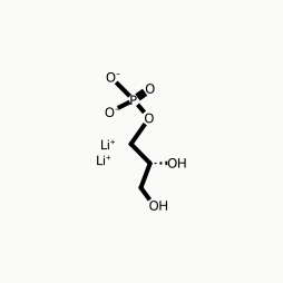 O=P([O-])([O-])OC[C@H](O)CO.[Li+].[Li+]